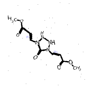 COC(=O)/C=C/N1NNN(/C=C/C(=O)OC)C1=O